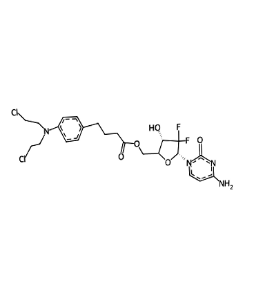 Nc1ccn([C@@H]2OC(COC(=O)CCCc3ccc(N(CCCl)CCCl)cc3)[C@H](O)C2(F)F)c(=O)n1